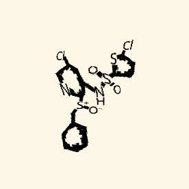 O=S(=O)(Nc1cc(Cl)cnc1[S+]([O-])Cc1ccccc1)c1ccc(Cl)s1